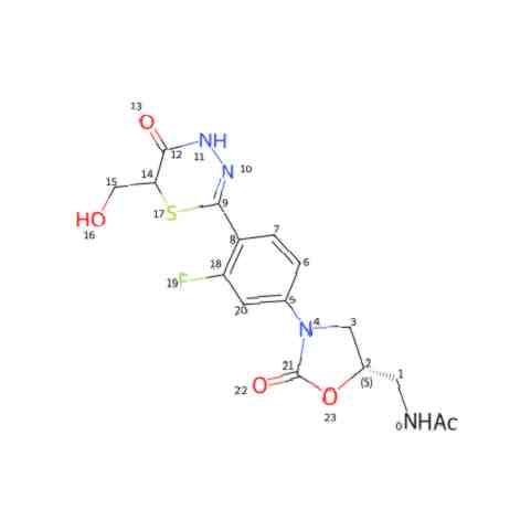 CC(=O)NC[C@H]1CN(c2ccc(C3=NNC(=O)C(CO)S3)c(F)c2)C(=O)O1